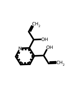 C=CC(O)c1cccnc1C(O)C=C